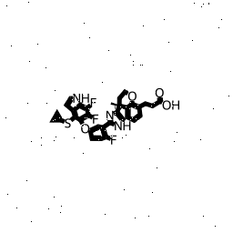 C[C@@]1(c2c[nH]c(-c3cc(Oc4c(F)c(F)c5[nH]ccc5c4SC4CC4)ccc3F)n2)CCOc2c(CCC(=O)O)cccc21